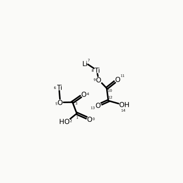 O=C(O)C(=O)[O][Ti].[Li][Ti][O]C(=O)C(=O)O